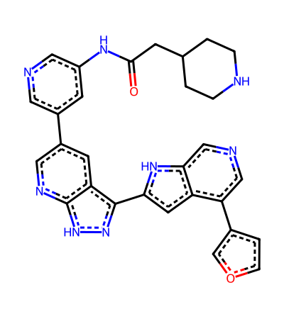 O=C(CC1CCNCC1)Nc1cncc(-c2cnc3[nH]nc(-c4cc5c(-c6ccoc6)cncc5[nH]4)c3c2)c1